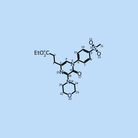 CCOC(=O)CCc1cn(-c2ccc(S(C)(=O)=O)cc2)c(=O)c(N2CCOCC2)n1